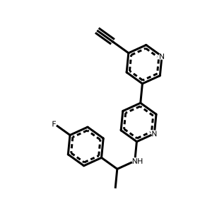 C#Cc1cncc(-c2ccc(NC(C)c3ccc(F)cc3)nc2)c1